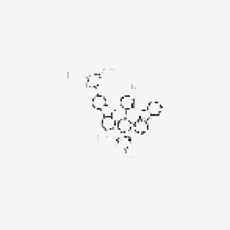 Cc1nc(C)nc(-c2ccc3c4ccccc4n(-c4cc(C#N)cc(-n5c6ccccc6c6ccc(-c7nc(C)nc(C)n7)cc65)c4-c4ccc(C#N)cc4C(F)(F)F)c3c2)n1